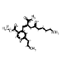 CCCCCC(=O)C/C(=C\c1cc(CCC)ncc1C(=O)OC)C(C)=O